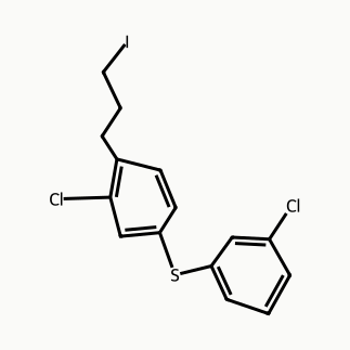 Clc1cccc(Sc2ccc(CCCI)c(Cl)c2)c1